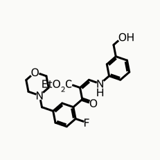 CCOC(=O)C(=CNc1cccc(CO)c1)C(=O)c1cc(CN2CCOCC2)ccc1F